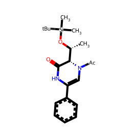 CC(=O)N1C=C(c2ccccc2)NC(=O)[C@@H]1[C@@H](C)O[Si](C)(C)C(C)(C)C